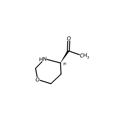 CC(=O)[C@H]1CCOCN1